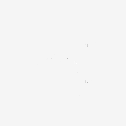 C(=C(c1ccccc1)c1ccccc1)c1ccc(-c2ccc(N(c3ccc(N(c4ccccc4)c4ccccc4)cc3)c3ccc(N(c4ccccc4)c4ccccc4)cc3)cc2)c2ccccc12